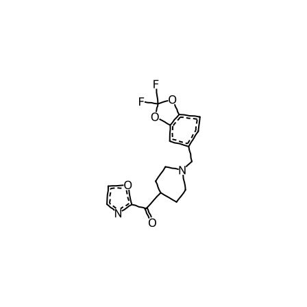 O=C(c1ncco1)C1CCN(Cc2ccc3c(c2)OC(F)(F)O3)CC1